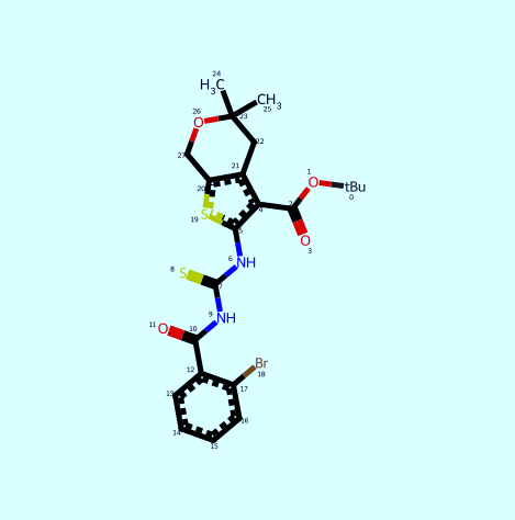 CC(C)(C)OC(=O)c1c(NC(=S)NC(=O)c2ccccc2Br)sc2c1CC(C)(C)OC2